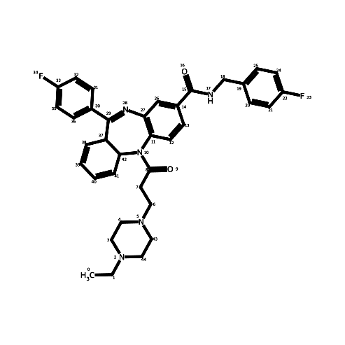 CCN1CCN(CCC(=O)N2c3ccc(C(=O)NCc4ccc(F)cc4)cc3N=C(c3ccc(F)cc3)C3C=CC=CC32)CC1